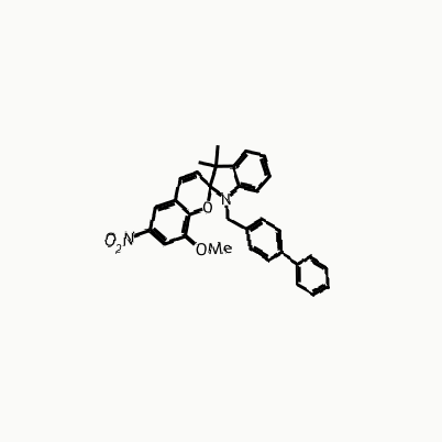 COc1cc([N+](=O)[O-])cc2c1OC1(C=C2)N(Cc2ccc(-c3ccccc3)cc2)c2ccccc2C1(C)C